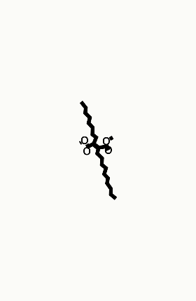 CCCCCCCCCCC(C(=O)OC)=C(CCCCCCCC)C(=O)OC